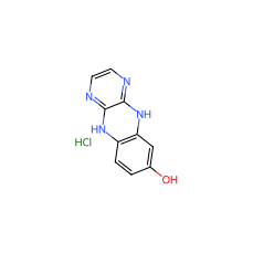 Cl.Oc1ccc2c(c1)Nc1nccnc1N2